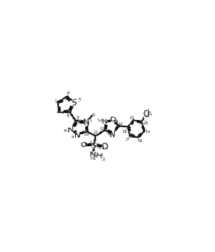 Cn1c(-c2cccs2)nnc1C(c1noc(-c2cccc(Cl)c2)n1)S(N)(=O)=O